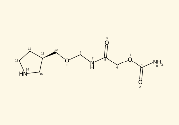 NC(=O)OCC(=O)NCOC[C@@H]1CCNC1